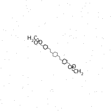 C=CC(=O)OCc1ccc(CCC2CCC(CCc3ccc(COC(=O)C=C)cc3)CC2)cc1